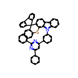 c1ccc(-c2cc(-c3cccc(-n4c5ccccc5c5ccc6c(c54)Sc4ccccc4C64c5ccccc5-c5ccccc54)c3)nc(-c3ccccc3)n2)cc1